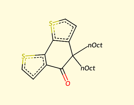 CCCCCCCCC1(CCCCCCCC)C(=O)c2ccsc2-c2sccc21